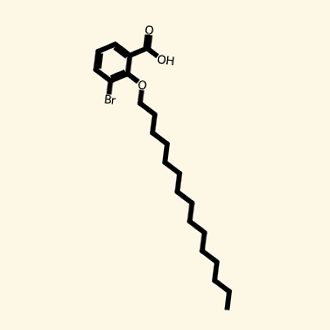 CCCCCCCCCCCCCCCOc1c(Br)cccc1C(=O)O